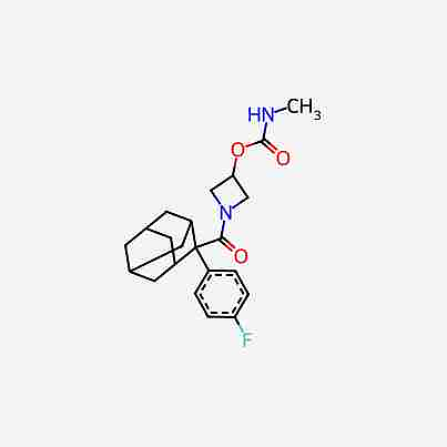 CNC(=O)OC1CN(C(=O)C2(c3ccc(F)cc3)C3CC4CC(C3)CC2C4)C1